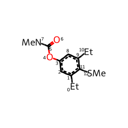 CCc1cc(OC(=O)NC)cc(CC)c1SC